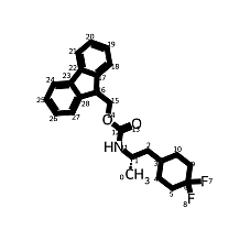 C[C@@H](CC1CCC(F)(F)CC1)NC(=O)OCC1c2ccccc2-c2ccccc21